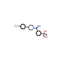 N=C(c1cccc(C2(O)COC2)c1)N1CCC(c2ccc(C(F)(F)F)cc2)CC1